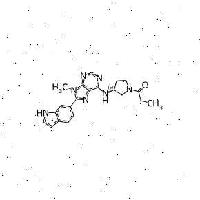 CCC(=O)N1CC[C@H](Nc2ncnc3c2nc(-c2ccc4cc[nH]c4c2)n3C)C1